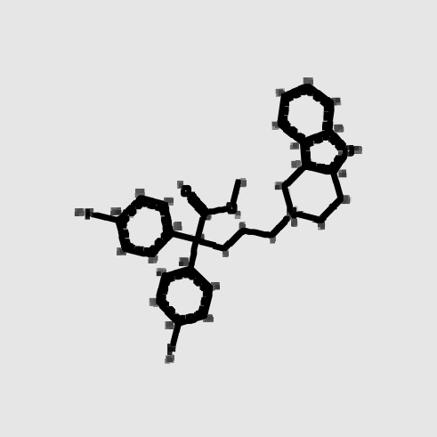 COC(=O)C(CCCN1CCc2oc3ccccc3c2C1)(c1ccc(F)cc1)c1ccc(F)cc1